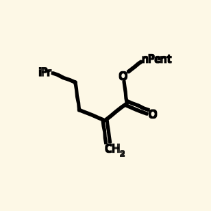 C=C(CCC(C)C)C(=O)OCCCCC